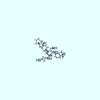 N=Cc1c(Nc2cccc(C(F)(F)F)c2)nc(NC2CC(O)C2)nc1N1CCC(O)(CN2CCCC2)CC1